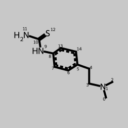 CN(C)CCc1ccc(NC(N)=S)cc1